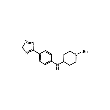 CC(C)(C)N1CCC(Nc2ccc(C3=NCN=N3)cc2)CC1